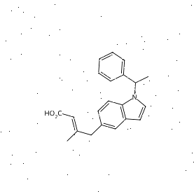 CC(=CC(=O)O)Cc1ccc2c(ccn2C(C)c2ccccc2)c1